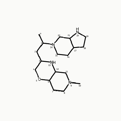 CC(CC1COC2CCN(C)CC2N1)N1CCC2CCNC2C1